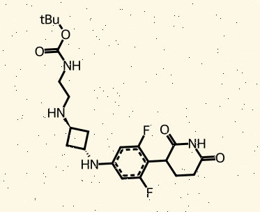 CC(C)(C)OC(=O)NCCN[C@H]1C[C@H](Nc2cc(F)c(C3CCC(=O)NC3=O)c(F)c2)C1